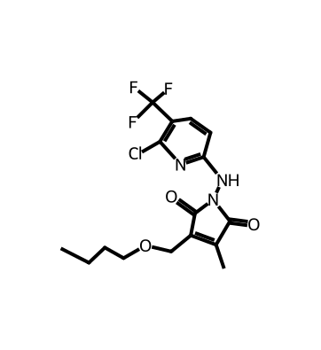 CCCCOCC1=C(C)C(=O)N(Nc2ccc(C(F)(F)F)c(Cl)n2)C1=O